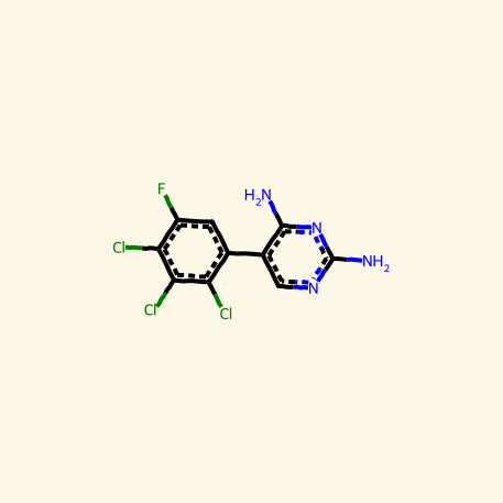 Nc1ncc(-c2cc(F)c(Cl)c(Cl)c2Cl)c(N)n1